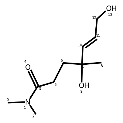 CN(C)C(=O)CCC(C)(O)/C=C/CO